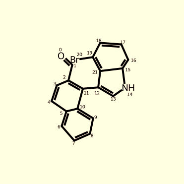 O=Cc1ccc2ccccc2c1-c1c[nH]c2cccc(Br)c12